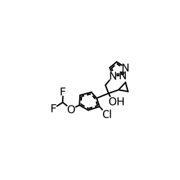 OC(Cn1ccnn1)(c1ccc(OC(F)F)cc1Cl)C1CC1